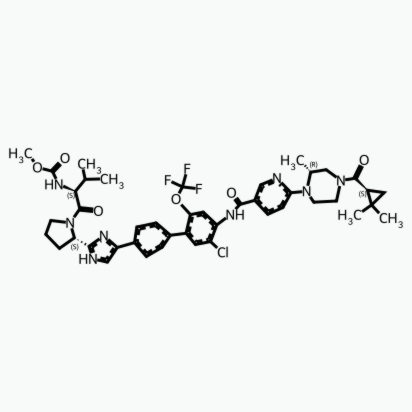 COC(=O)N[C@H](C(=O)N1CCC[C@H]1c1nc(-c2ccc(-c3cc(Cl)c(NC(=O)c4ccc(N5CCN(C(=O)[C@H]6CC6(C)C)C[C@H]5C)nc4)cc3OC(F)(F)F)cc2)c[nH]1)C(C)C